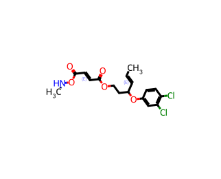 C/C=C/C(CCOC(=O)/C=C/C(=O)ONC)Oc1ccc(Cl)c(Cl)c1